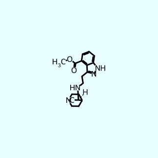 COC(=O)c1cccc2[nH]nc(CCN[C@@H]3CN4CCC3CC4)c12